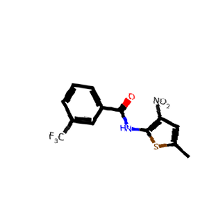 Cc1cc([N+](=O)[O-])c(NC(=O)c2cccc(C(F)(F)F)c2)s1